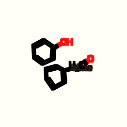 C=O.CNc1ccccc1.Oc1ccccc1